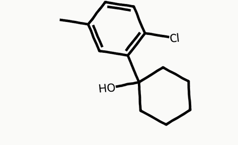 Cc1ccc(Cl)c(C2(O)CCCCC2)c1